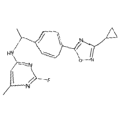 Cc1cc(NC(C)c2ccc(-c3nc(C4CC4)no3)cc2)nc(F)n1